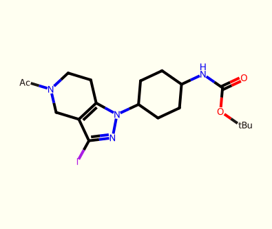 CC(=O)N1CCc2c(c(I)nn2C2CCC(NC(=O)OC(C)(C)C)CC2)C1